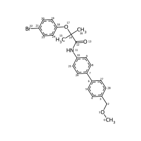 COCc1ccc(-c2ccc(NC(=O)C(C)(C)Oc3ccc(Br)cc3)cc2)cc1